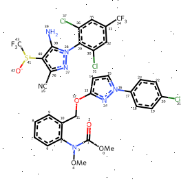 COC(=O)N(OC)c1ccccc1COc1ccn(-c2ccc(Cl)cc2)n1.N#Cc1nn(-c2c(Cl)cc(C(F)(F)F)cc2Cl)c(N)c1[S+]([O-])C(F)(F)F